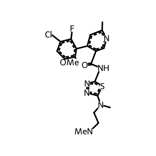 CNCCN(C)c1nnc(NC(=O)c2cnc(C)cc2-c2c(OC)ccc(Cl)c2F)s1